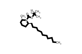 CCCCCCCCCCC[C@H]1CCC[C@H](C)N1C(=O)OC(C)(C)C